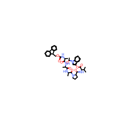 CC(=O)n1cc(OC(=O)C(NC(=O)C2CCCN2C(=O)C(C)NC(=O)C(C)NC(=O)C(C)NC(=O)OCC2c3ccccc3-c3ccccc32)C(C)C)c2ccccc21